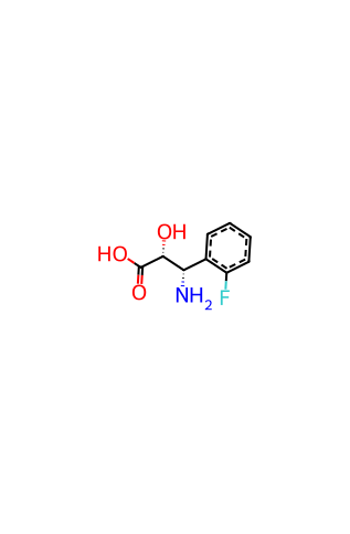 N[C@@H](c1ccccc1F)[C@@H](O)C(=O)O